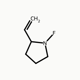 C=CC1CCCN1F